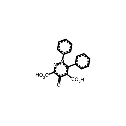 O=C(O)c1nn(-c2ccccc2)c(-c2ccccc2)c(C(=O)O)c1=O